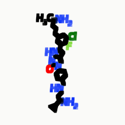 C[C@H](N)CCCc1cc(Cl)c(F)c(-c2cc3cn(-c4ccc(CNCC[C@@H](N)C5CC5)cc4)c(=O)nc3[nH]2)c1